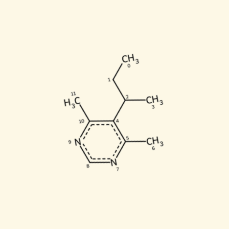 CCC(C)c1c(C)ncnc1C